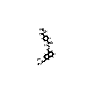 CC(C)N(Cc1ccc2c(CONC(=O)c3ccc(C(=O)NO)cc3)cccc2c1)C(C)C